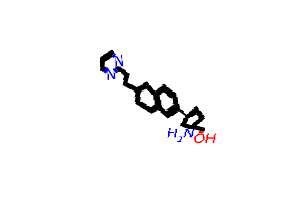 N[C@]1(CO)CC[C@H](c2ccc3c(c2)CCC(CCc2ncccn2)C3)C1